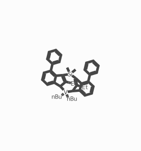 CCC[CH2][V]1([CH2]CCC)[CH]2C(CC)=C(c3c(-c4ccccc4)cccc32)[Si](C)(C)C2=C(CC)[CH]1c1cccc(-c3ccccc3)c12